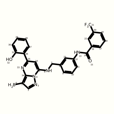 Bc1cnn2c(NCc3cccc(NC(=O)c4cccc(C(F)(F)F)c4)c3)cc(-c3ccccc3O)nc12